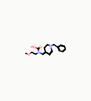 COCCN(CC1CCN(Cc2ccccc2)CC1)C(=O)O